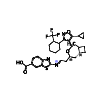 CC1CC[C@@H]1C[C@@H](C/C=N/c1nc2ccc(C(=O)O)cc2s1)OCc1c(C2CCCCC2C(F)(F)F)noc1C1CC1